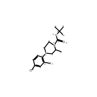 CC1CN(c2ccc(Cl)cc2F)CCN1C(=O)OC(C)(C)C